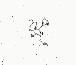 COC(=O)Cn1c(-c2cscn2)nc(OC[C@@H](C)N)c(Br)c1=O